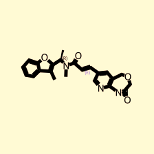 Cc1c([C@@H](C)N(C)C(=O)/C=C/c2cnc3c(c2)COCC(=O)N3)oc2ccccc12